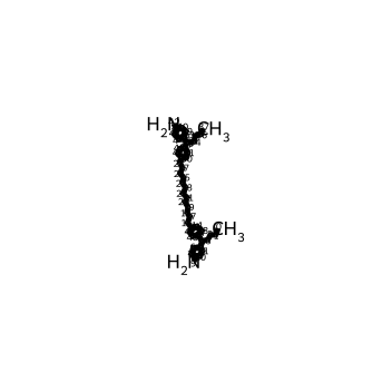 CCCCC(c1ccc(N)cc1)c1ccc(CCCCCCCCCCCCCc2ccc(C(CCCC)c3ccc(N)cc3)cc2)cc1